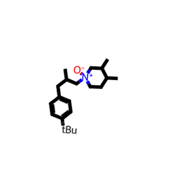 CC(Cc1ccc(C(C)(C)C)cc1)C[N+]1([O-])CCC(C)C(C)C1